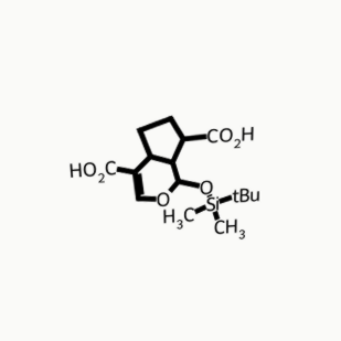 CC(C)(C)[Si](C)(C)OC1OC=C(C(=O)O)C2CCC(C(=O)O)C12